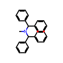 CN(C(c1ccccc1)c1ccccc1)C(c1ccccc1)c1ccccc1